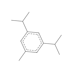 Cc1cc(C(C)C)cc(C(C)C)c1